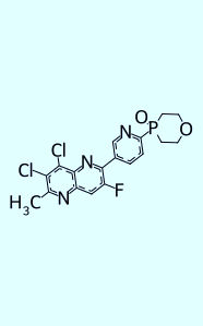 Cc1nc2cc(F)c(-c3ccc(P4(=O)CCOCC4)nc3)nc2c(Cl)c1Cl